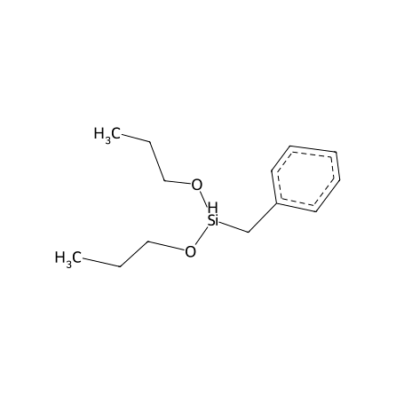 CCCO[SiH](Cc1ccccc1)OCCC